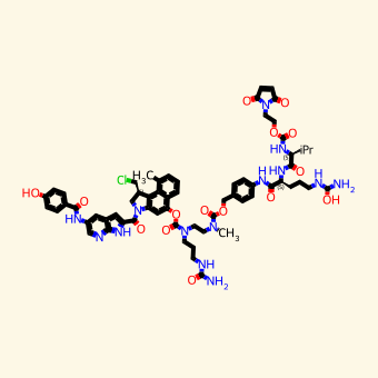 Cc1cccc2c(OC(=O)N(CCCNC(N)=O)CCN(C)C(=O)OCc3ccc(NC(=O)[C@H](CCCNC(N)O)NC(=O)[C@@H](NC(=O)OCCN4C(=O)C=CC4=O)C(C)C)cc3)cc3c(c12)[C@H](CCl)CN3C(=O)c1cc2cc(NC(=O)c3ccc(O)cc3)cnc2[nH]1